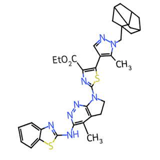 CCOC(=O)c1nc(N2CCc3c2nnc(Nc2nc4ccccc4s2)c3C)sc1-c1cnn(CC23CC4CC(CC(C4)C2)C3)c1C